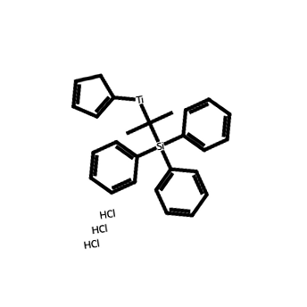 C[C](C)([Ti][C]1=CC=CC1)[Si](c1ccccc1)(c1ccccc1)c1ccccc1.Cl.Cl.Cl